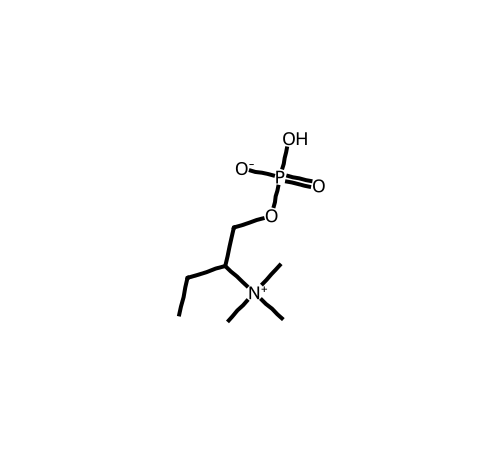 CCC(COP(=O)([O-])O)[N+](C)(C)C